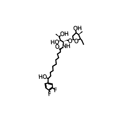 CCC1O[C@H](OC[C@H](NC(=O)CCCCCCCCCC(O)c2ccc(F)c(F)c2)[C@H](O)[C@@H](C)O)CC(O)[C@H]1C